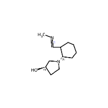 C/N=C/C1CCCC[C@@H]1N1CC[C@@H](O)C1